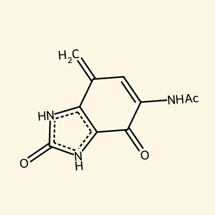 C=C1C=C(NC(C)=O)C(=O)c2[nH]c(=O)[nH]c21